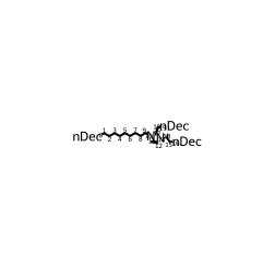 CCCCCCCCCCCCCCCCCCCn1cc[n+](CCCCCCCCCCCC)c1CCCCCCCCCCC